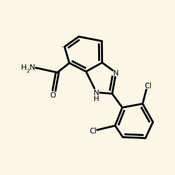 NC(=O)c1[c]ccc2nc(-c3c(Cl)cccc3Cl)[nH]c12